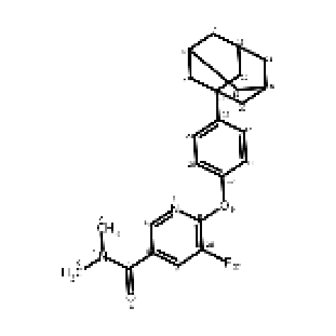 CN(C)C(=O)c1cnc(Oc2ccc(C34CC5CC(CC(C5)C3)C4)cc2)c(F)c1